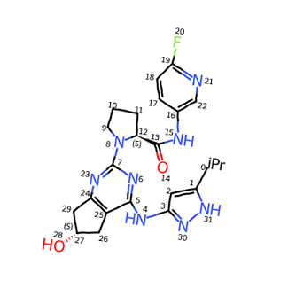 CC(C)c1cc(Nc2nc(N3CCC[C@H]3C(=O)Nc3ccc(F)nc3)nc3c2C[C@H](O)C3)n[nH]1